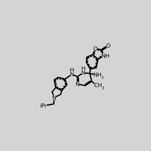 CC1=CN=C(Nc2ccc3c(c2)CN(CC(C)C)C3)NC1(N)c1ccc2oc(=O)[nH]c2c1